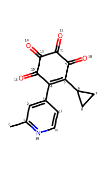 Cc1cc(-c2c(C3CC3)c(=O)c(=O)c(=O)c2=O)ccn1